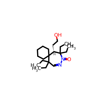 CCC1(CC)[C@@H](CCO)C2(CCCCC2)C(CC)(CC)C=N[N+]1=O